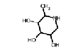 CC1NCC(O)C(O)[C@@H]1O